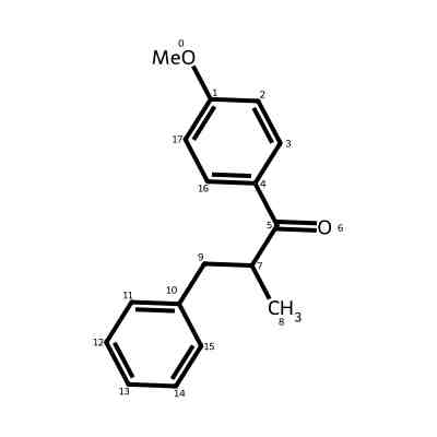 COc1ccc(C(=O)C(C)Cc2ccccc2)cc1